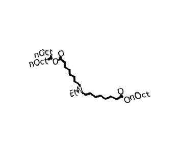 CCCCCCCCOC(=O)CCCCCCCN(CC)CCCCCCCC(=O)OC(CCCCCCCC)CCCCCCCC